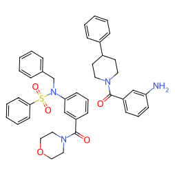 Nc1cccc(C(=O)N2CCC(c3ccccc3)CC2)c1.O=C(c1cccc(N(Cc2ccccc2)S(=O)(=O)c2ccccc2)c1)N1CCOCC1